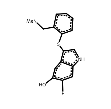 CNCc1ccccc1Sc1c[nH]c2cc(F)c(O)cc12